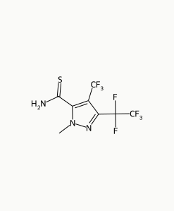 Cn1nc(C(F)(F)C(F)(F)F)c(C(F)(F)F)c1C(N)=S